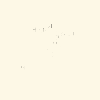 [CH2]CC(CCOC(=O)CCC(OCCCCCCCC)OCCCCCCCC)OC(=O)OCCCN(C)C